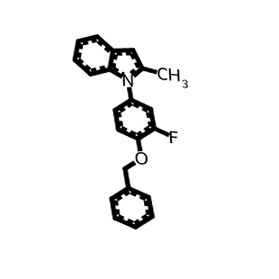 Cc1cc2ccccc2n1-c1ccc(OCc2ccccc2)c(F)c1